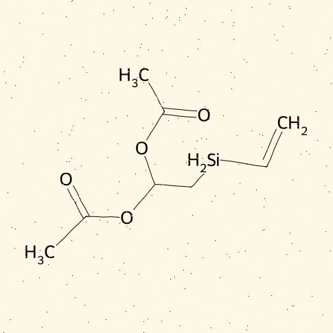 C=C[SiH2]CC(OC(C)=O)OC(C)=O